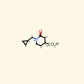 O=C(O)C1CCN(CC2CC2)C(=O)C1